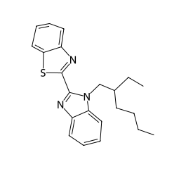 CCCCC(CC)Cn1c(-c2nc3ccccc3s2)nc2ccccc21